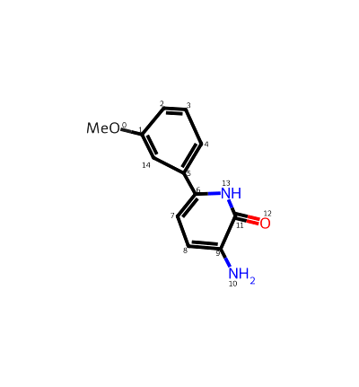 COc1cccc(-c2ccc(N)c(=O)[nH]2)c1